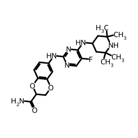 CC1(C)CC(Nc2nc(Nc3ccc4c(c3)OCC(C(N)=O)O4)ncc2F)CC(C)(C)N1